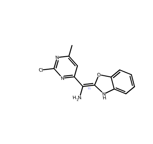 Cc1cc(/C(N)=C2/Nc3ccccc3O2)nc(Cl)n1